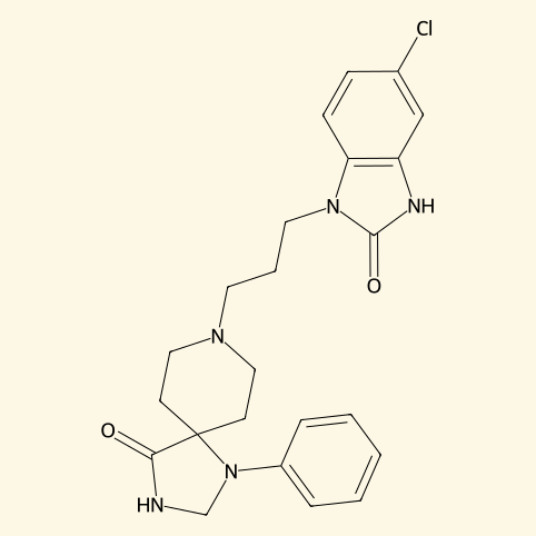 O=C1NCN(c2ccccc2)C12CCN(CCCn1c(=O)[nH]c3cc(Cl)ccc31)CC2